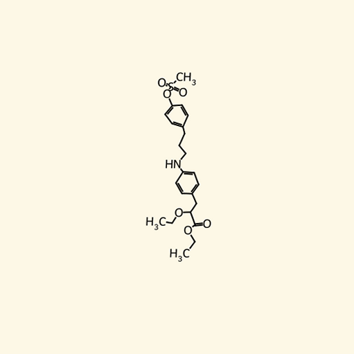 CCOC(=O)C(Cc1ccc(NCCCc2ccc(OS(C)(=O)=O)cc2)cc1)OCC